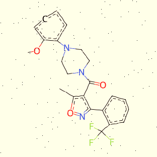 COc1ccccc1N1CCN(C(=O)c2c(-c3ccccc3C(F)(F)F)noc2C)CC1